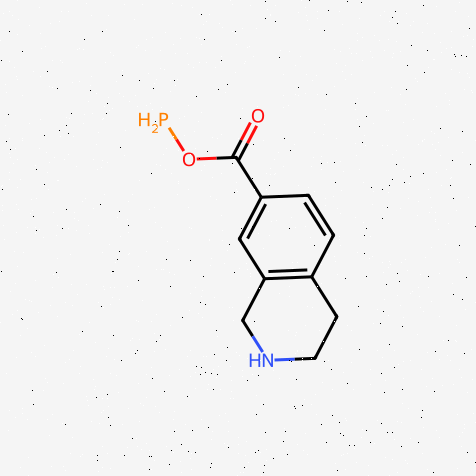 O=C(OP)c1ccc2c(c1)CNCC2